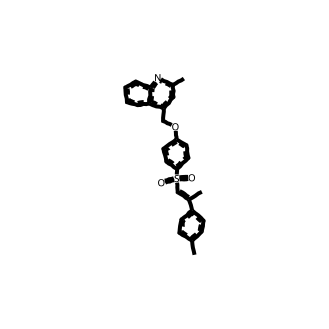 C/C(=C\S(=O)(=O)c1ccc(OCc2cc(C)nc3ccccc23)cc1)c1ccc(C)cc1